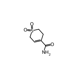 NC(=O)C1=CCS(=O)(=O)CC1